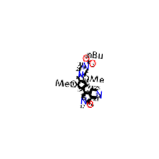 CCCCOC(=O)N1CCN(Cc2c(OC)cc(-c3cn(C)c(=O)c4cnccc34)cc2OC)CC1